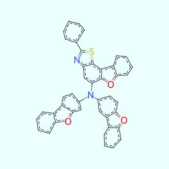 c1ccc(-c2nc3cc(N(c4ccc5c(c4)oc4ccccc45)c4ccc5oc6ccccc6c5c4)c4oc5ccccc5c4c3s2)cc1